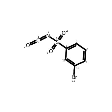 O=C=NS(=O)(=O)c1cccc(Br)c1